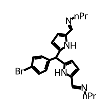 CCC/N=C/c1ccc(C(c2ccc(Br)cc2)c2ccc(/C=N/CCC)[nH]2)[nH]1